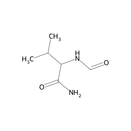 CC(C)C(NC=O)C(N)=O